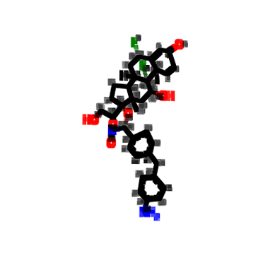 C[C@]12C=CC(=O)C=C1[C@@H](F)C[C@H]1C3CC[C@](O[C@@H](N=O)c4ccc(Cc5ccc(N)cc5)cc4)(C(=O)CO)[C@@]3(C)C[C@H](O)[C@@]12F